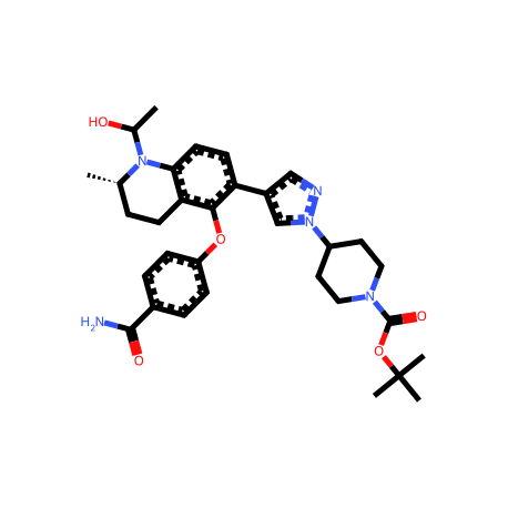 CC(O)N1c2ccc(-c3cnn(C4CCN(C(=O)OC(C)(C)C)CC4)c3)c(Oc3ccc(C(N)=O)cc3)c2CC[C@@H]1C